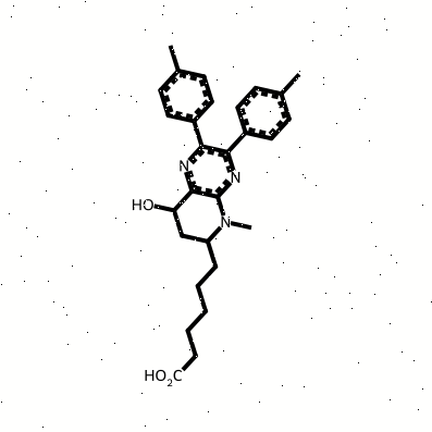 Cc1ccc(-c2nc3c(nc2-c2ccc(C)cc2)N(C)C(CCCCCC(=O)O)CC3O)cc1